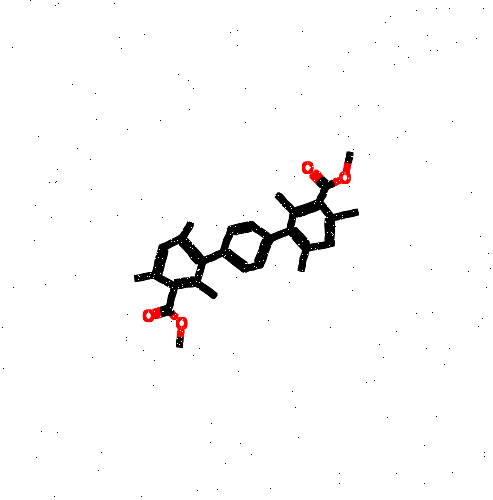 COC(=O)c1c(C)cc(C)c(-c2ccc(-c3c(C)cc(C)c(C(=O)OC)c3C)cc2)c1C